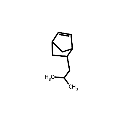 CC(C)CC1CC2C=CC1C2